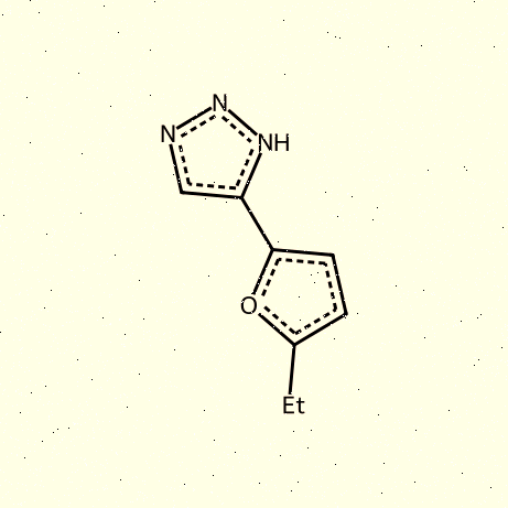 CCc1ccc(-c2cnn[nH]2)o1